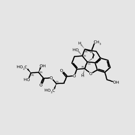 CN1CC[C@]23c4c5ccc(CO)c4O[C@H]2C(OC(=O)C[C@H](OC(=O)[C@H](O)[C@@H](O)C(=O)O)C(=O)O)=CC[C@@]3(O)[C@H]1C5